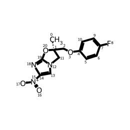 C[C@]1(COc2ccc(F)cc2)Cn2cc([N+](=O)[O-])nc2O1